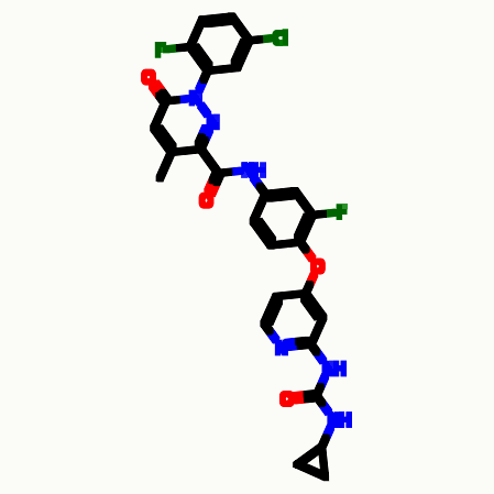 Cc1cc(=O)n(-c2cc(Cl)ccc2F)nc1C(=O)Nc1ccc(Oc2ccnc(NC(=O)NC3CC3)c2)c(F)c1